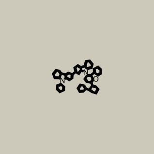 c1ccc(-c2ccccc2-c2ccc(-n3c4ccccc4c4ccc(-c5ccc6c(c5)c5ccccc5n6-c5ccccc5)cc43)c3c2oc2ccccc23)cc1